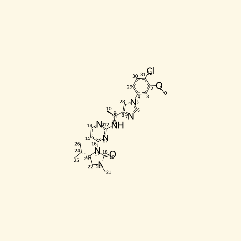 COc1cc(-n2cnc([C@H](C)Nc3nccc(N4C(=O)N(C)C[C@@H]4C(C)C)n3)c2)ccc1Cl